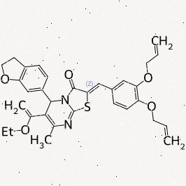 C=CCOc1ccc(/C=c2\sc3n(c2=O)C(c2ccc4c(c2)OCC4)C(C(=C)OCC)=C(C)N=3)cc1OCC=C